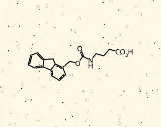 O=C(O)CCCNC(=O)OCc1cccc2c1Cc1ccccc1-2